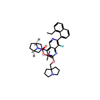 CCc1cccc2cccc(-c3ncc4c(N5C[C@H]6CC[C@@H](C5)N6C(=O)OC(C)(C)C)nc(OCC56CCCN5CCC6)nc4c3F)c12